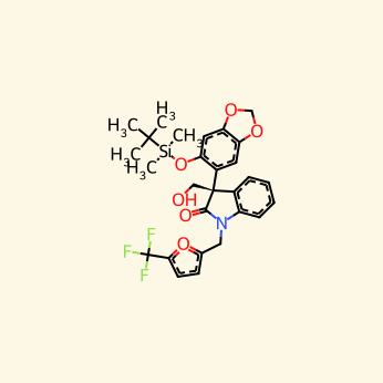 CC(C)(C)[Si](C)(C)Oc1cc2c(cc1[C@@]1(CO)C(=O)N(Cc3ccc(C(F)(F)F)o3)c3ccccc31)OCO2